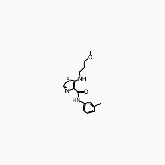 COCCCNc1scnc1C(=O)Nc1cccc(C)c1